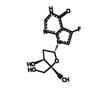 C#C[C@]1(CO)O[C@@H](n2cc(F)c3c(=O)[nH]cnc32)C[C@@H]1O